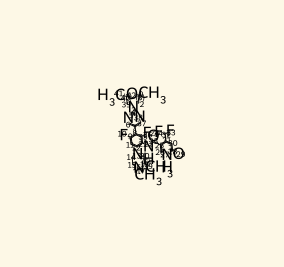 C[C@H]1CN(c2ncc(-c3c(F)cc(N4CCN(C)[C@@H](C)C4)c(NC(=O)c4c[nH]c(=O)cc4C(F)F)c3F)cn2)C[C@H](C)O1